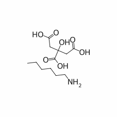 CCCCCCN.O=C(O)CC(O)(CC(=O)O)C(=O)O